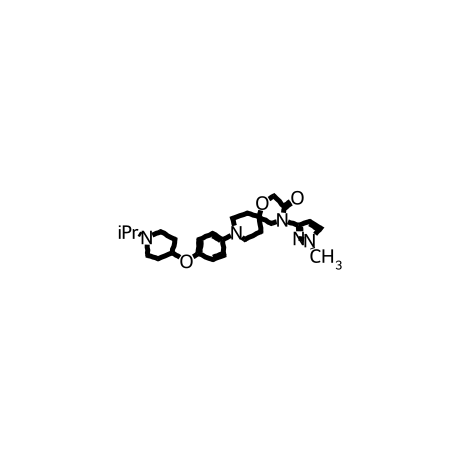 CC(C)N1CCC(Oc2ccc(N3CCC4(CC3)CN(c3ccn(C)n3)C(=O)CO4)cc2)CC1